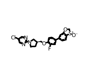 [O-][S+]1COc2cc(-c3ccc(OC[C@H]4CCN(c5ncc(Cl)cn5)C4)c(F)c3)ccc21